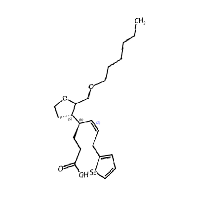 CCCCCCOCC1OCC[C@H]1[C@@H](/C=C\Cc1ccc[se]1)CCC(=O)O